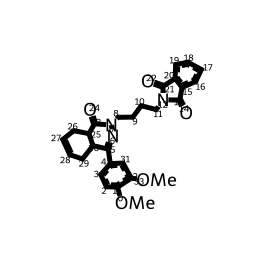 COc1ccc(C2=NN(CCCCN3C(=O)c4ccccc4C3=O)C(=O)C3CC=CCC23)cc1OC